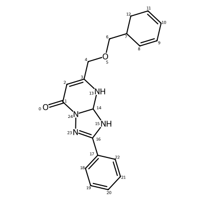 O=C1C=C(COCC2C=CC=CC2)NC2NC(c3ccccc3)=NN12